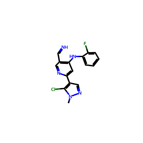 Cn1ncc(-c2cc(Nc3ccccc3F)c(C=N)cn2)c1Cl